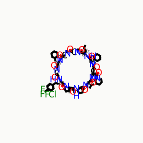 CC[C@H](C)[C@@H]1NC(=O)[C@H](C2CCCCC2)N(C)C(=O)C[C@@H](C(=O)N2CCCCC2)N(C)C(=O)[C@H](C(C)C)N(C)C(=O)C2(CCCC2)NC(=O)[C@@H]2CCCN2C(=O)[C@H](CCc2ccc(C(F)(F)F)c(Cl)c2)NC(=O)CN(C)C(=O)[C@H](CC2CCCCC2)N(C)C(=O)CN(C)C(=O)CN(C)C1=O